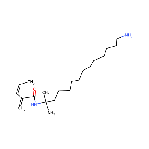 C=C(/C=C\C)C(=O)NC(C)(C)CCCCCCCCCCCCN